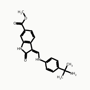 COC(=O)c1ccc2c(c1)NC(=O)C2=CNc1ccc(C(C)(C)N)cc1